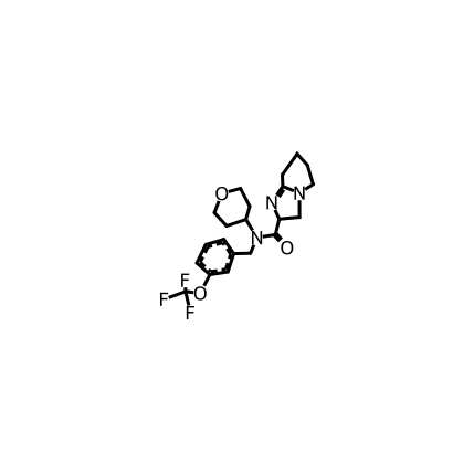 O=C(C1CN2CCCCC2=N1)N(Cc1cccc(OC(F)(F)F)c1)C1CCOCC1